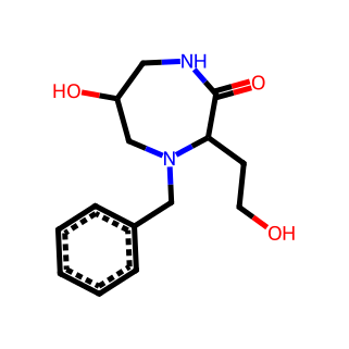 O=C1NCC(O)CN(Cc2ccccc2)C1CCO